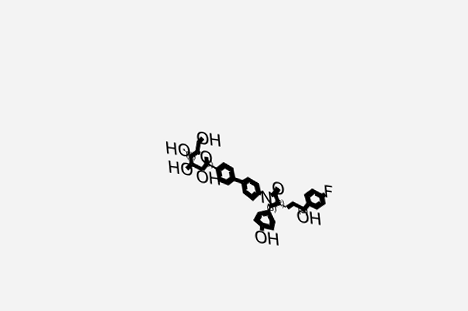 O=C1[C@H](CC[C@H](O)c2ccc(F)cc2)[C@@H](c2ccc(O)cc2)N1c1ccc(-c2ccc([C@@H]3OC(CO)[C@@H](O)C(O)C3O)cc2)cc1